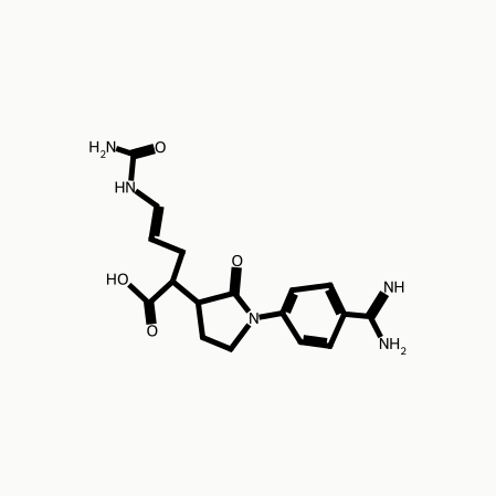 N=C(N)c1ccc(N2CCC(C(CC=CNC(N)=O)C(=O)O)C2=O)cc1